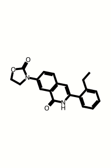 CCc1ccccc1-c1cc2ccc(N3CCOC3=O)cc2c(=O)[nH]1